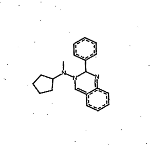 CN(C1CCCC1)N1C=c2ccccc2=NC1c1ccccc1